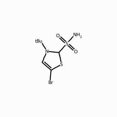 CC(C)(C)N1C=C(Br)SC1S(N)(=O)=O